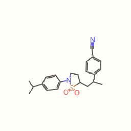 CC(C)c1ccc(N2CCC(CC(C)c3ccc(C#N)cc3)S2(=O)=O)cc1